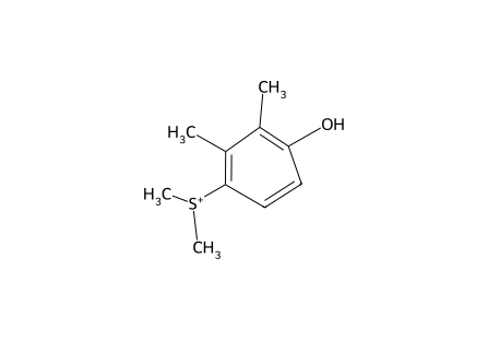 Cc1c(O)ccc([S+](C)C)c1C